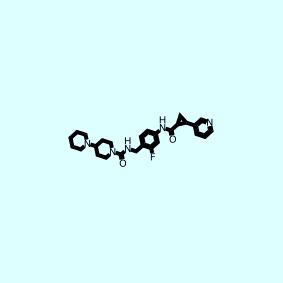 O=C(Nc1ccc(CNC(=O)N2CCC(N3CCCCC3)CC2)c(F)c1)C1CC1c1cccnc1